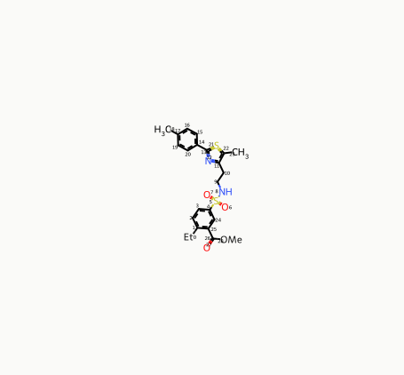 CCc1ccc(S(=O)(=O)NCCc2nc(-c3ccc(C)cc3)sc2C)cc1C(=O)OC